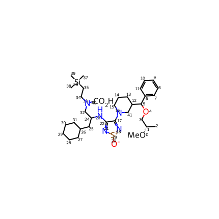 CO[C@@H](C)COC(c1ccccc1)C1CCCN(c2n[s+]([O-])nc2NC(CC2CCCCC2)CN(CC[Si](C)(C)C)C(=O)O)C1